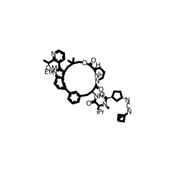 CCn1c(-c2cccnc2[C@H](C)OC)c2c3cc(ccc31)-c1cccc(c1)C[C@H](NC(=O)C(C(C)C)N(C)C(=O)[C@H]1CC[C@H](N=C=NC34CC(C3)C4)C1)C(=O)N1CCC[C@H](N1)C(=O)OCC(C)(C)C2